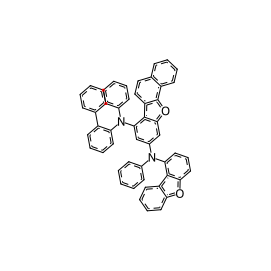 c1ccc(-c2ccccc2N(c2ccccc2)c2cc(N(c3ccccc3)c3cccc4oc5ccccc5c34)cc3oc4c5ccccc5ccc4c23)cc1